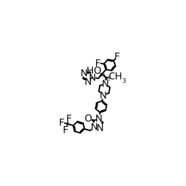 C[C@@H](N1CCN(c2ccc(-n3cnn(Cc4ccc(C(F)(F)F)cc4)c3=O)cc2)CC1)[C@](O)(Cn1cncn1)c1ccc(F)cc1F